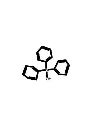 O[B-](c1ccccc1)(c1ccccc1)c1ccccc1